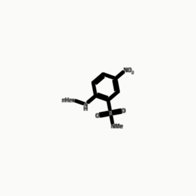 CCCCCCNc1ccc([N+](=O)[O-])cc1S(=O)(=O)NC